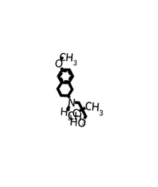 CCN(CC(C)(C)CO)C1CCc2cc(OC)ccc2C1